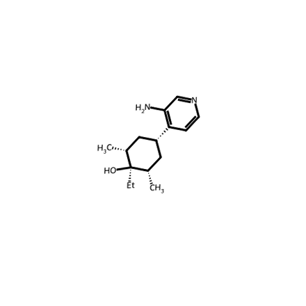 CC[C@]1(O)[C@H](C)C[C@H](c2ccncc2N)C[C@@H]1C